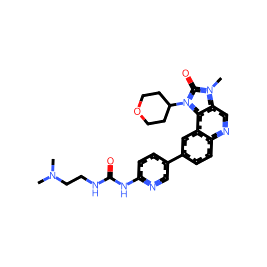 CN(C)CCNC(=O)Nc1ccc(-c2ccc3ncc4c(c3c2)n(C2CCOCC2)c(=O)n4C)cn1